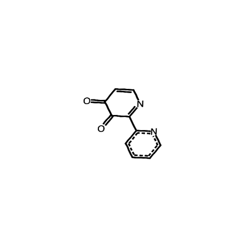 O=C1C=CN=C(c2ccccn2)C1=O